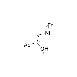 CCNCC(O)C(C)=O